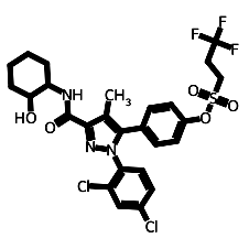 Cc1c(C(=O)NC2CCCCC2O)nn(-c2ccc(Cl)cc2Cl)c1-c1ccc(OS(=O)(=O)CCC(F)(F)F)cc1